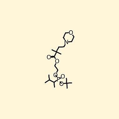 CC(C)C(C)P(=O)(OCCOC(=O)C(C)(C)CCN1CCOCC1)OC(C)(C)C